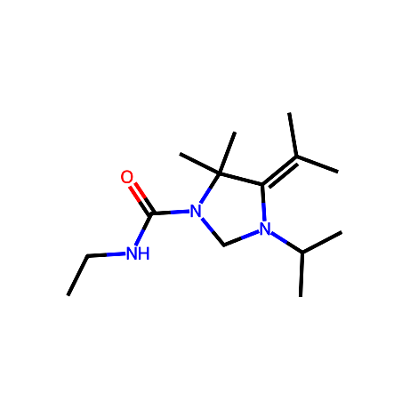 CCNC(=O)N1CN(C(C)C)C(=C(C)C)C1(C)C